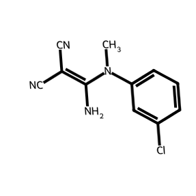 CN(C(N)=C(C#N)C#N)c1cccc(Cl)c1